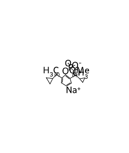 COP(=O)([O-])Oc1c([C@@H](C)C2CC2)cccc1[C@H](C)C1CC1.[Na+]